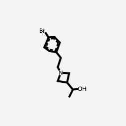 CC(O)C1CN(CCc2ccc(Br)cc2)C1